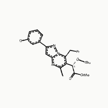 COC(=O)[C@@H](OC(C)(C)C)c1c(C)nc2cc(-c3cccc(Cl)c3)nn2c1CC(C)C